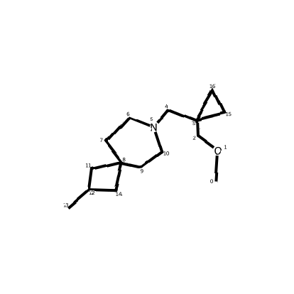 COCC1(CN2CCC3(CC2)CC(C)C3)CC1